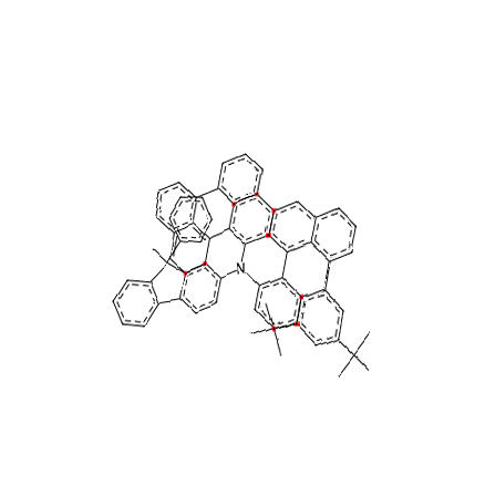 CC(C)(C)c1cc(-c2cccc3cccc(-c4ccccc4N(c4ccc5c(c4)C(C)(c4ccccc4)c4ccccc4-5)c4ccccc4C4=c5c(-c6ccccc6)cccc5=CCC4)c23)cc(C(C)(C)C)c1